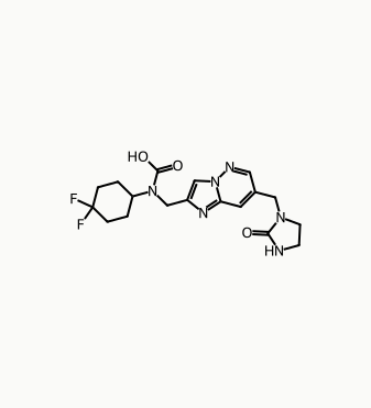 O=C1NCCN1Cc1cnn2cc(CN(C(=O)O)C3CCC(F)(F)CC3)nc2c1